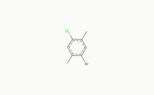 Cc1cc(Br)c(C)cc1Cl